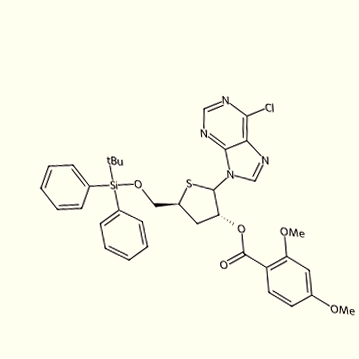 COc1ccc(C(=O)O[C@@H]2C[C@@H](CO[Si](c3ccccc3)(c3ccccc3)C(C)(C)C)SC2n2cnc3c(Cl)ncnc32)c(OC)c1